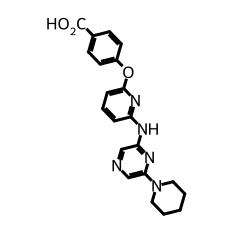 O=C(O)c1ccc(Oc2cccc(Nc3cncc(N4CCCCC4)n3)n2)cc1